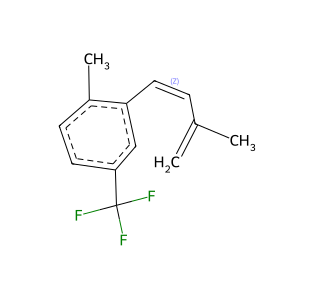 C=C(C)/C=C\c1cc(C(F)(F)F)ccc1C